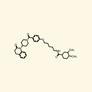 CC(=O)OC1CCC(C(=O)NCCCCCOc2ccc(C(=O)N3CCC(N4C(=O)CCc5ccccc54)CC3)cc2)CC1OC(C)=O